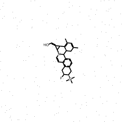 CC1=CC(C)=C2C(C1)C1c3ccc4c(c3C=CN1C1/C(=C\O)C21)CC(F)[C@H]([Si](C)(C)C)C4